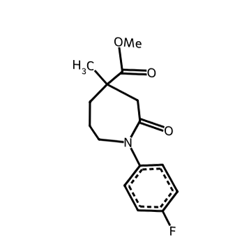 COC(=O)C1(C)CCCN(c2ccc(F)cc2)C(=O)C1